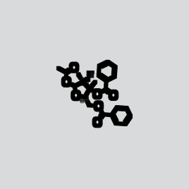 CC(=O)OC1O[C@H](COC(=O)c2ccccc2)C(C)(OC(=O)c2ccccc2)[C@@]1(C)F